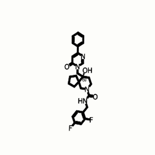 O=C(NCc1ccc(F)cc1F)N1CC[C@@](O)(Cn2cnc(-c3ccccc3)cc2=O)C2(CCCC2)C1